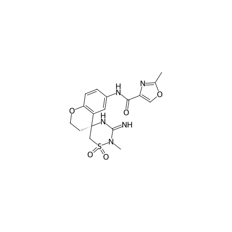 Cc1nc(C(=O)Nc2ccc3c(c2)[C@]2(CCO3)CS(=O)(=O)N(C)C(=N)N2)co1